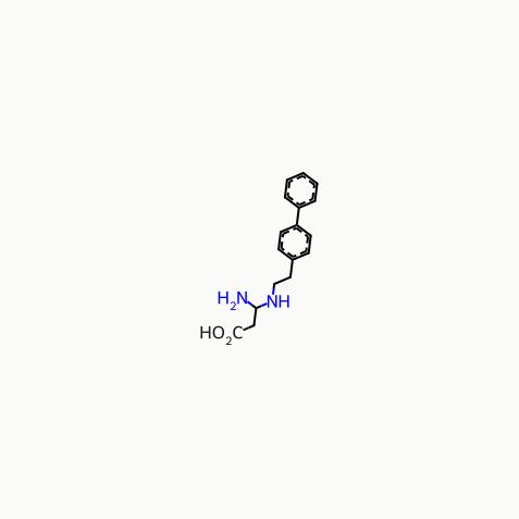 NC(CC(=O)O)NCCc1ccc(-c2ccccc2)cc1